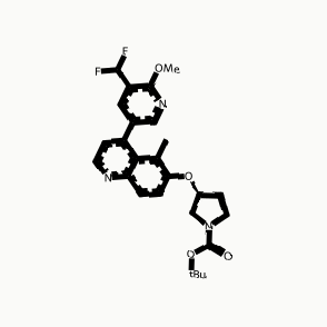 COc1ncc(-c2ccnc3ccc(O[C@H]4CCN(C(=O)OC(C)(C)C)C4)c(C)c23)cc1C(F)F